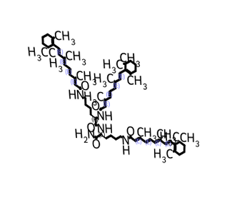 CC1=C(/C=C/C(C)=C/C=C/C(C)=C/C(=O)NCCCC[C@H](NC(=O)[C@@H](CCCCNC(=O)/C=C(C)/C=C/C=C(C)/C=C/C2=C(C)CCCC2(C)C)NC(=O)/C=C(C)/C=C/C=C(C)/C=C/C2=C(C)CCCC2(C)C)C(N)=O)C(C)(C)CCC1